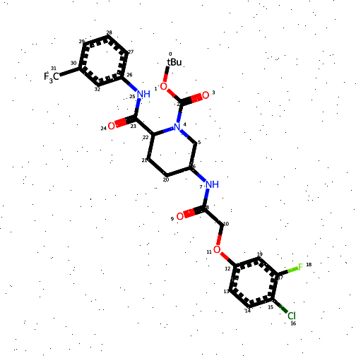 CC(C)(C)OC(=O)N1CC(NC(=O)COc2ccc(Cl)c(F)c2)CCC1C(=O)Nc1cccc(C(F)(F)F)c1